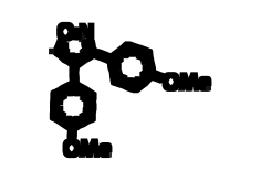 COc1ccc(-c2[c]onc2-c2ccc(OC)cc2)cc1